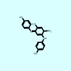 NC1=CC(N)C(Nc2ccc(O)cc2)=C/C1=N/c1ccc(O)cc1